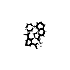 CC(C)c1cccc(C(C)C)c1N1CN2c3c(cccc3N3CCOCC3)C=CC2[C]1=[Au][Cl]